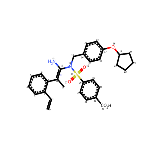 C=Cc1ccccc1/C(C)=C(\N)N(Cc1ccc(OC2CCCC2)cc1)S(=O)(=O)c1ccc(C(=O)O)cc1